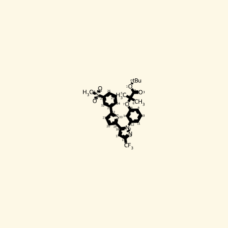 CC(C)(C)OC(=O)C(C)(C)Oc1cccc(-n2nc(C(F)(F)F)cc2-c2ccc(-c3cccc(S(C)(=O)=O)c3)s2)c1